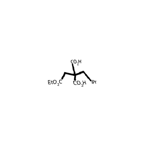 CCOC(=O)CC(CC(C)C)(C(=O)O)C(=O)O